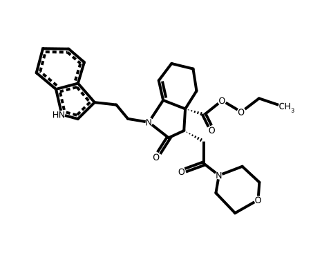 CCOOC(=O)[C@@]12CCCC=C1N(CCc1c[nH]c3ccccc13)C(=O)[C@H]2CC(=O)N1CCOCC1